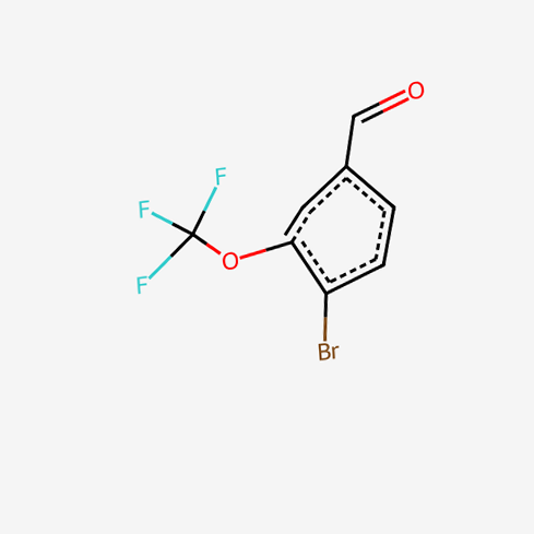 O=Cc1ccc(Br)c(OC(F)(F)F)c1